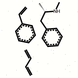 C=CC=C.C=Cc1ccccc1.CN[C@@H](C)Cc1ccccc1